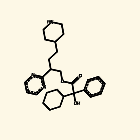 O=C(OCC(CCC1CCNCC1)c1ncccn1)C(O)(c1ccccc1)C1CCCCC1